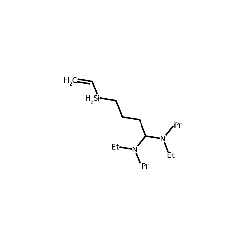 C=C[SiH2]CCCC(N(CC)C(C)C)N(CC)C(C)C